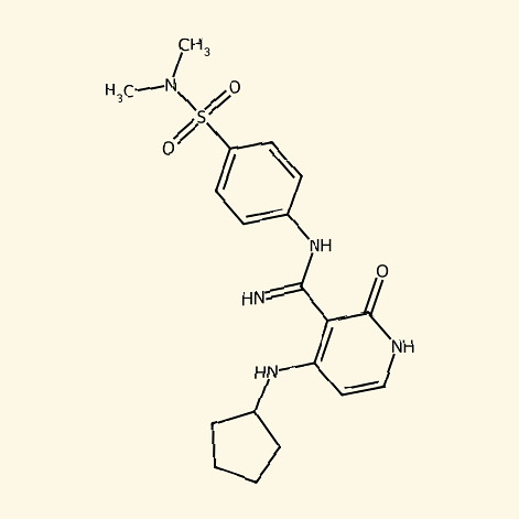 CN(C)S(=O)(=O)c1ccc(NC(=N)c2c(NC3CCCC3)cc[nH]c2=O)cc1